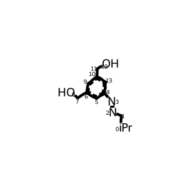 CC(C)CN=Nc1cc(CO)cc(CO)c1